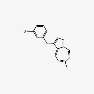 Cc1ccc2ccc(Cc3cccc(Br)c3)c-2cc1